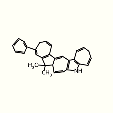 CC1(C)C2=C(C=CCC(c3ccccc3)=C2)C2=Cc3c([nH]c4c3C=CCC=C4)C=CC21